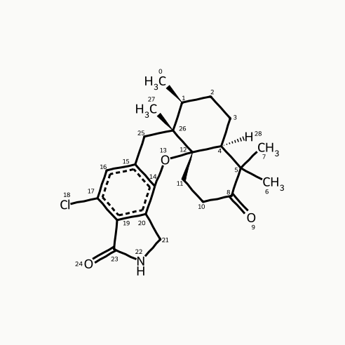 C[C@H]1CC[C@H]2C(C)(C)C(=O)CC[C@]23Oc2c(cc(Cl)c4c2CNC4=O)C[C@]13C